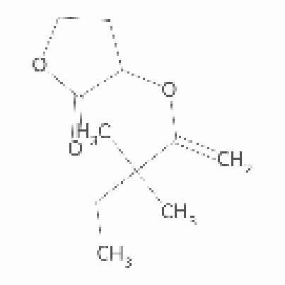 C=C(OC1CCOC1=O)C(C)(C)CC